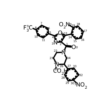 O=C(c1nc(-c2ccc(C(F)(F)F)cc2)oc1-c1ccccc1[N+](=O)[O-])N1CCN(C(=O)O)C(c2ccc([N+](=O)[O-])cc2)C1